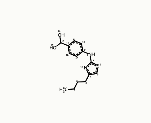 CCCCc1csc(Nc2ccc(C(O)O)cc2)n1